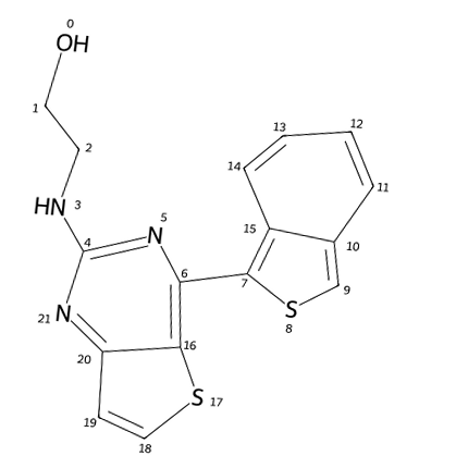 OCCNc1nc(-c2scc3ccccc23)c2sccc2n1